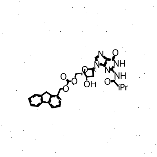 CC(C)C(=O)Nc1nc2c(ncn2[C@H]2CC(O)[C@@H](COC(=O)OCc3cccc4c3Cc3ccccc3-4)O2)c(=O)[nH]1